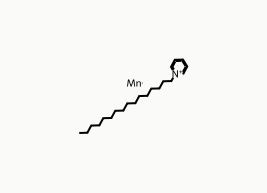 CCCCCCCCCCCCCCCC[n+]1ccccc1.[Mn]